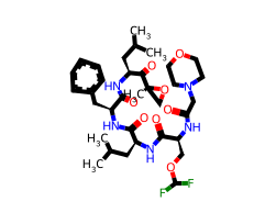 CC(C)C[C@H](NC(=O)[C@H](COC(F)F)NC(=O)CN1CCOCC1)C(=O)N[C@@H](Cc1ccccc1)C(=O)N[C@@H](CC(C)C)C(=O)[C@@]1(C)CO1